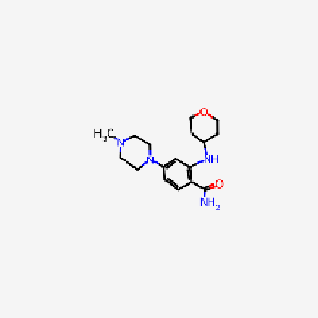 CN1CCN(c2ccc(C(N)=O)c(NC3CCOCC3)c2)CC1